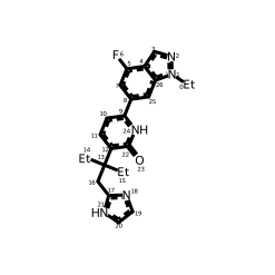 CCn1ncc2c(F)cc(-c3ccc(C(CC)(CC)Cc4ncc[nH]4)c(=O)[nH]3)cc21